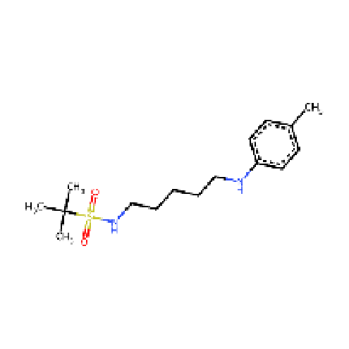 Cc1ccc(NCCCCCNS(=O)(=O)C(C)(C)C)cc1